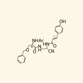 CC(=O)N[C@H](COCc1ccccc1)C(=O)NCC(C#N)NC(=O)/C=C/c1ccc(O)cc1